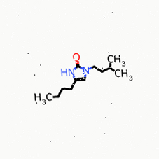 CCCCc1cn(CCC(C)C)c(=O)[nH]1